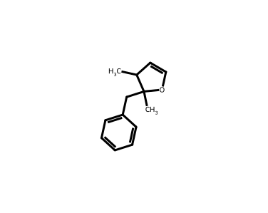 CC1C=COC1(C)Cc1ccccc1